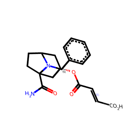 NC(=O)C12CCC(C[C@H](OC(=O)/C=C/C(=O)O)C1)N2Cc1ccccc1